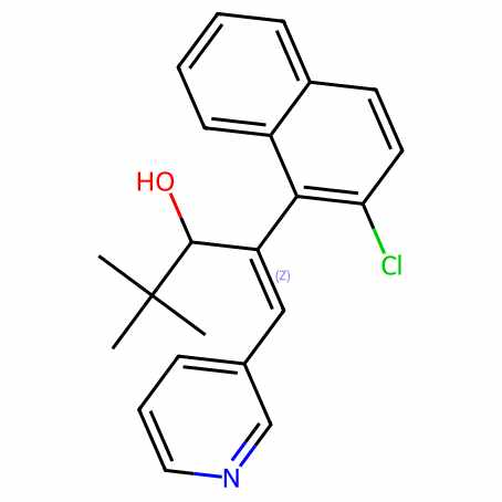 CC(C)(C)C(O)/C(=C\c1cccnc1)c1c(Cl)ccc2ccccc12